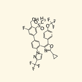 CS(=O)(=O)c1cc(-c2ccc(-n3ccc(C(F)(F)F)n3)c(-c3nc(C4CC4)oc3-c3ccc(OC(F)(F)F)cc3)c2)cc(F)c1CO